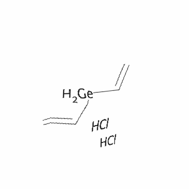 C=[CH][GeH2][CH]=C.Cl.Cl